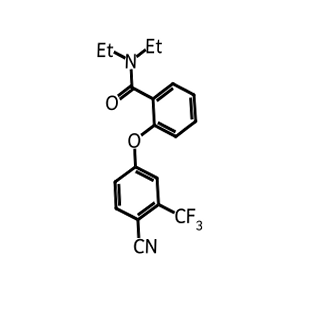 CCN(CC)C(=O)c1ccccc1Oc1ccc(C#N)c(C(F)(F)F)c1